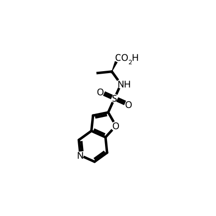 C[C@H](NS(=O)(=O)c1cc2cnccc2o1)C(=O)O